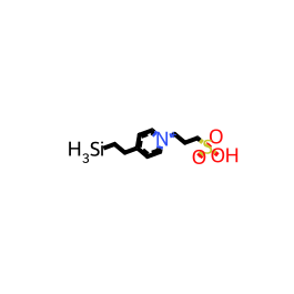 O=S(=O)(O)CCC[n+]1ccc(CC[SiH3])cc1